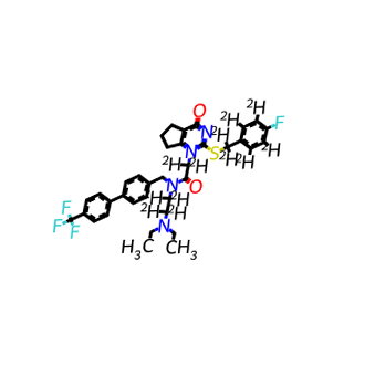 [2H]c1c([2H])c(C([2H])([2H])Sc2nc(=O)c3c(n2C([2H])([2H])C(=O)N(Cc2ccc(-c4ccc(C(F)(F)F)cc4)cc2)C([2H])([2H])C([2H])([2H])N(CC)CC)CCC3)c([2H])c([2H])c1F